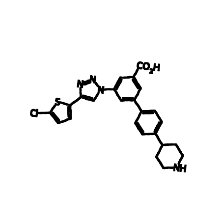 O=C(O)c1cc(-c2ccc(C3CCNCC3)cc2)cc(-n2cc(-c3ccc(Cl)s3)nn2)c1